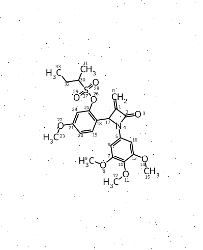 C=C1C(=O)N(c2cc(OC)c(OC)c(OC)c2)C1c1ccc(OC)cc1OS(=O)(=O)C(C)CC